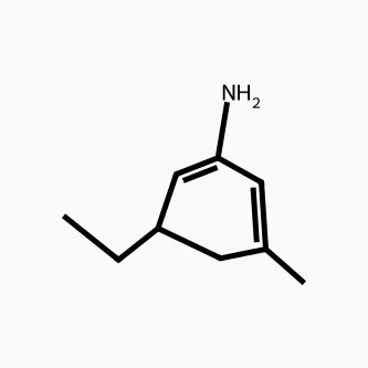 CCC1C=C(N)C=C(C)C1